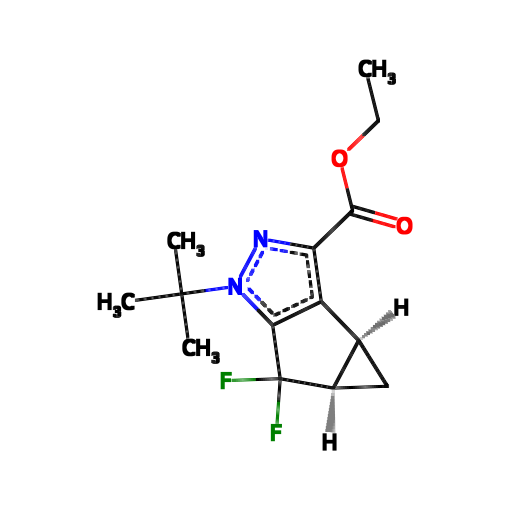 CCOC(=O)c1nn(C(C)(C)C)c2c1[C@H]1C[C@H]1C2(F)F